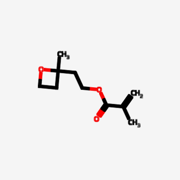 C=C(C)C(=O)OCCC1(C)CCO1